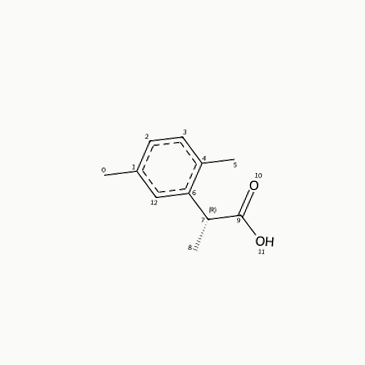 Cc1ccc(C)c([C@@H](C)C(=O)O)c1